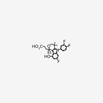 CC[C@@]1(CCC(=O)O)OCC(C)(C)c2c1c1c(O)cc(F)cc1n2-c1ccc(F)c(F)c1